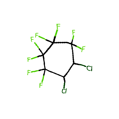 FC1(F)C(Cl)C(Cl)C(F)(F)C(F)(F)C1(F)F